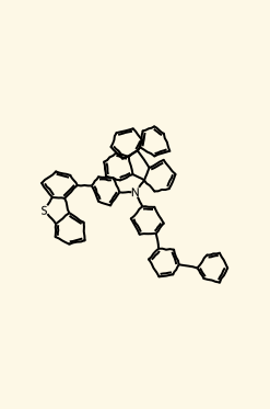 C1=CCC(c2ccccc2-c2ccccc2)(N(c2ccc(-c3cccc(-c4ccccc4)c3)cc2)c2ccc(-c3cccc4sc5ccccc5c34)cc2)C(c2ccccc2)=C1